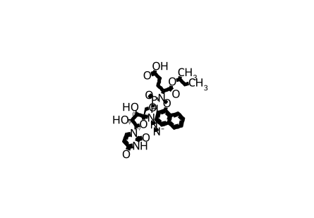 CCC(C)OC(=O)C(CCC(=O)O)N(Oc1cccc2ccccc12)[PH](=O)OC[C@@]1(N=[N+]=[N-])O[C@@H](n2ccc(=O)[nH]c2=O)[C@H](O)[C@@H]1O